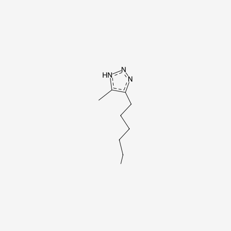 CCCCCCc1nn[nH]c1C